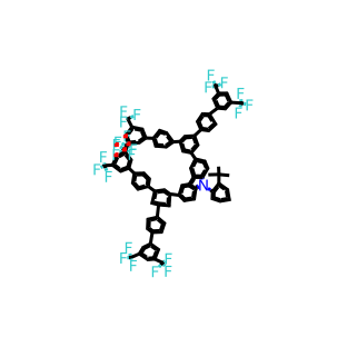 CC(C)(C)c1ccccc1-n1c2ccc(-c3cc(-c4ccc(-c5cc(C(F)(F)F)cc(C(F)(F)F)c5)cc4)cc(-c4ccc(-c5cc(C(F)(F)F)cc(C(F)(F)F)c5)cc4)c3)cc2c2cc(-c3cc(-c4ccc(-c5cc(C(F)(F)F)cc(C(F)(F)F)c5)cc4)cc(-c4ccc(-c5cc(C(F)(F)F)cc(C(F)(F)F)c5)cc4)c3)ccc21